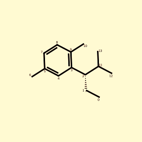 C[CH][C@H](c1cc(C)ccc1C)C(C)C